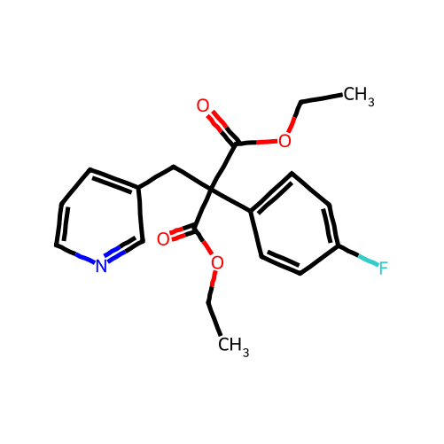 CCOC(=O)C(Cc1cccnc1)(C(=O)OCC)c1ccc(F)cc1